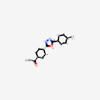 COC(=O)[C@H]1CC[C@H](c2nnc(C3CCC(C(F)(F)F)CC3)o2)CC1